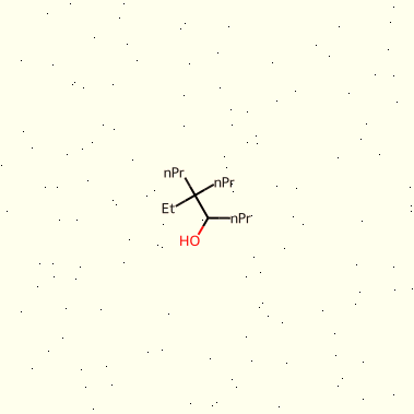 CCCC(O)C(CC)(CCC)CCC